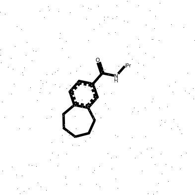 CC(C)NC(=O)c1ccc2c(c1)CCCCC2